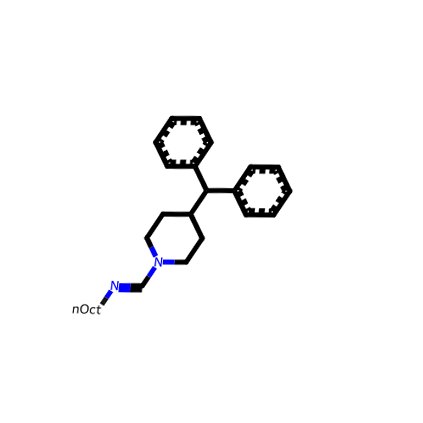 CCCCCCCCN=CN1CCC(C(c2ccccc2)c2ccccc2)CC1